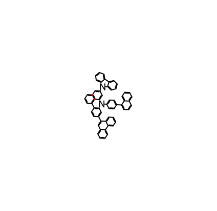 c1ccc(-c2ccc(-c3cc4ccccc4c4ccccc34)cc2N(c2ccc(-c3cccc4ccccc34)cc2)c2cccc(-n3c4ccccc4c4ccccc43)c2)cc1